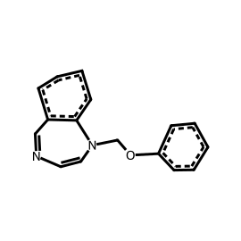 C1=CN(COc2ccccc2)c2ccccc2C=N1